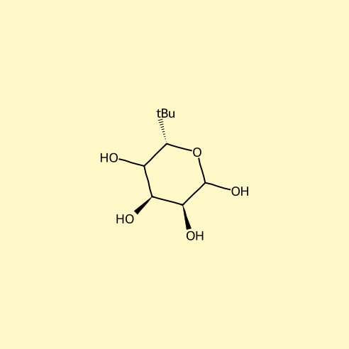 CC(C)(C)[C@@H]1OC(O)[C@@H](O)[C@@H](O)C1O